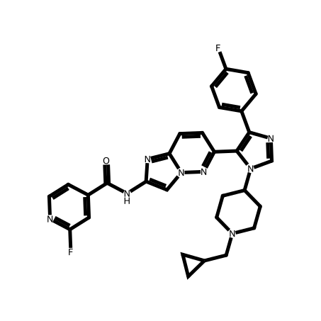 O=C(Nc1cn2nc(-c3c(-c4ccc(F)cc4)ncn3C3CCN(CC4CC4)CC3)ccc2n1)c1ccnc(F)c1